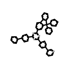 c1ccc(-c2ccc(-c3nc(-c4ccc(-c5cccnc5)cc4)nc(-c4ccc5c(c4)C(c4ccccc4)(c4ccccc4)c4ccccc4-5)n3)cc2)cc1